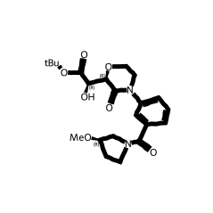 CO[C@@H]1CCN(C(=O)c2cccc(N3CCO[C@H]([C@@H](O)C(=O)OC(C)(C)C)C3=O)c2)C1